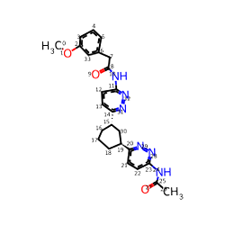 COc1cccc(CC(=O)Nc2ccc([C@H]3CCC[C@H](c4ccc(NC(C)=O)nn4)C3)nn2)c1